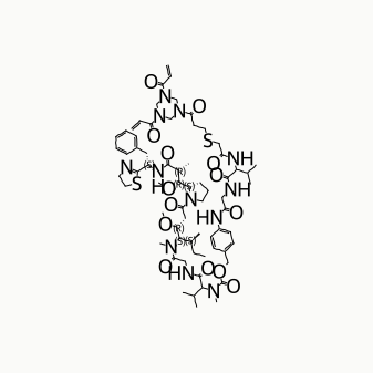 C=CC(=O)N1CN(C(=O)C=C)CN(C(=O)CCSCC(=O)NC(C(=O)NCC(=O)Nc2ccc(COC(=O)N(C)C(C(=O)NCC(=O)N(C)[C@@H]([C@@H](C)CC)[C@@H](CC(=O)N3CCC[C@H]3[C@H](OC)[C@@H](C)C(=O)N[C@@H](Cc3ccccc3)C3=NCCS3)OC)C(C)C)cc2)C(C)C)C1